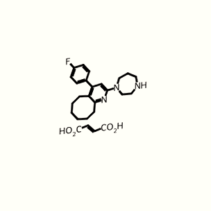 Fc1ccc(-c2cc(N3CCCNCC3)nc3c2CCCCCC3)cc1.O=C(O)C=CC(=O)O